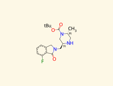 C[C@@H]1CN[C@@H](CN2Cc3cccc(F)c3C2=O)CN1C(=O)OC(C)(C)C